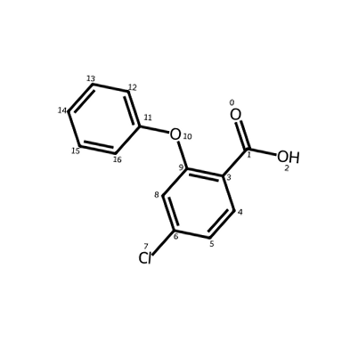 O=C(O)c1ccc(Cl)cc1Oc1ccccc1